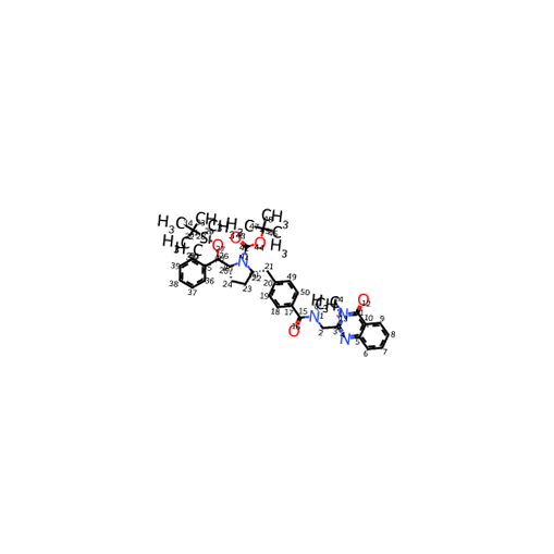 CN(Cc1nc2ccccc2c(=O)n1C)C(=O)c1ccc(C[C@@H]2CC[C@H]([C@H](O[Si](C)(C)C(C)(C)C)c3ccccc3)N2C(=O)OC(C)(C)C)cc1